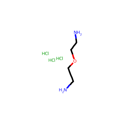 Cl.Cl.Cl.NCCOCCN